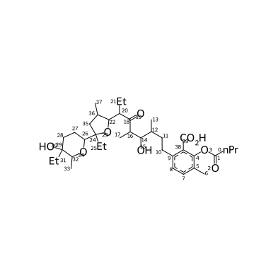 CCCC(=O)Oc1c(C)ccc(CCC(C)C(O)C(C)C(=O)C(CC)C2OC(CC)(C3CCC(O)(CC)C(C)O3)CC2C)c1C(=O)O